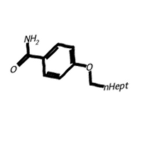 CCCCCCCCOc1ccc(C(N)=O)cc1